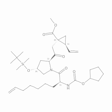 C=CCCCCC[C@H](NC(=O)OC1CCCC1)C(=O)N1C[C@H](O[Si](C)(C)C(C)(C)C)C[C@H]1C(=O)C[C@]1(C(=O)OC)C[C@H]1C=C